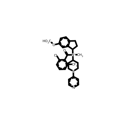 C[N+](C(=O)c1c(Cl)cccc1C(F)(F)F)(C1CCN(c2ccncc2)CC1)C1CCc2ccc(OC(=O)O)cc21